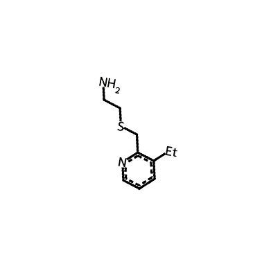 CCc1cccnc1CSCCN